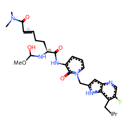 COC(O)N[C@@H](CC/C=C/C(=O)N(C)C)C(=O)Nc1cccn(Cc2cc3ncc(F)c(CC(C)C)c3[nH]2)c1=O